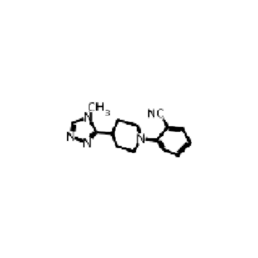 Cn1cnnc1C1CCN(c2ccccc2C#N)CC1